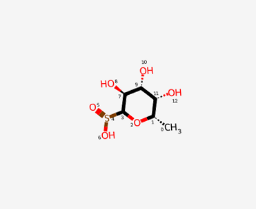 C[C@@H]1OC(S(=O)O)[C@@H](O)[C@H](O)[C@@H]1O